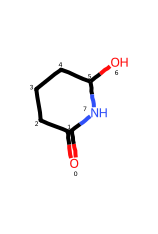 O=C1CCCC(O)N1